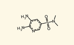 CN(C)S(=O)(=O)c1cnc(N)c(N)c1